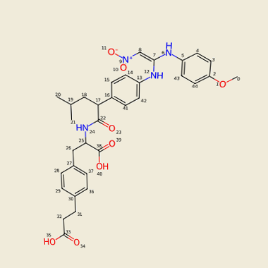 COc1ccc(N/C(=C/[N+](=O)[O-])Nc2ccc(C(CC(C)C)C(=O)NC(Cc3ccc(CCC(=O)O)cc3)C(=O)O)cc2)cc1